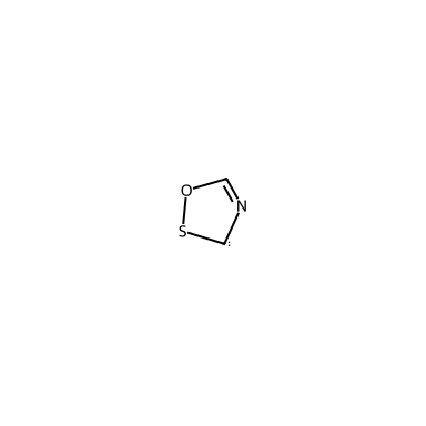 [C]1N=COS1